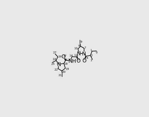 CCC(C)C(=O)N1CC(I)CN1C(=O)CNC(=O)C1CC(I)CN1C(C)CC